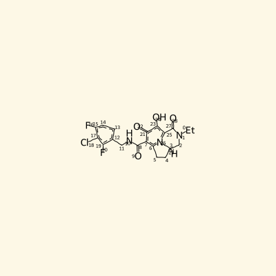 CCN1C[C@@H]2CCc3c(C(=O)NCc4ccc(F)c(Cl)c4F)c(=O)c(O)c(n32)C1=O